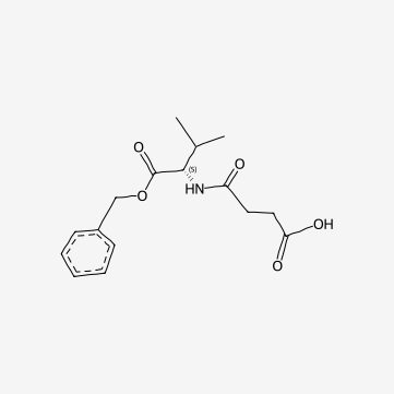 CC(C)[C@H](NC(=O)CCC(=O)O)C(=O)OCc1ccccc1